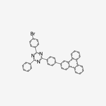 Brc1ccc(-c2nc(-c3ccccc3)nc(-c3ccc(-c4ccc5c6ccccc6c6ccccc6c5c4)cc3)n2)cc1